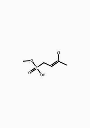 COP(=O)(O)CC=C(C)Cl